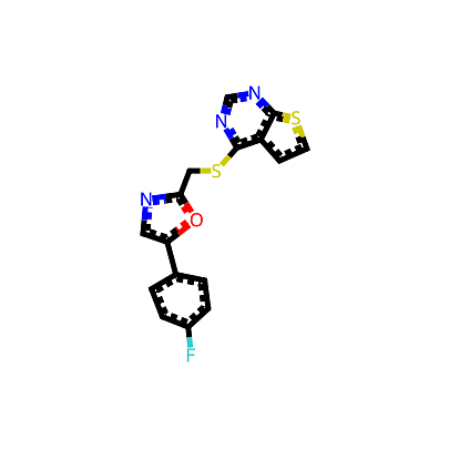 Fc1ccc(-c2cnc(CSc3ncnc4sccc34)o2)cc1